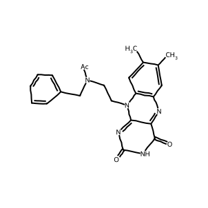 CC(=O)N(CCn1c2nc(=O)[nH]c(=O)c-2nc2cc(C)c(C)cc21)Cc1ccccc1